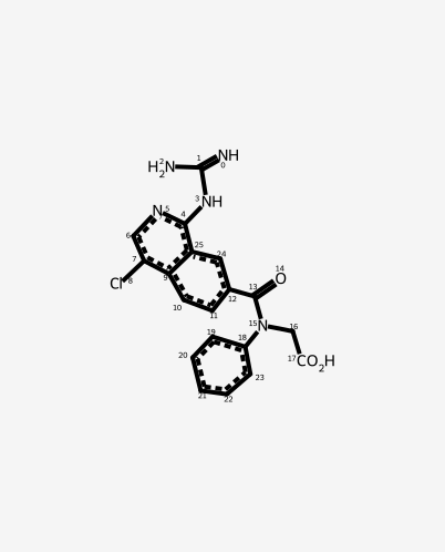 N=C(N)Nc1ncc(Cl)c2ccc(C(=O)N(CC(=O)O)c3ccccc3)cc12